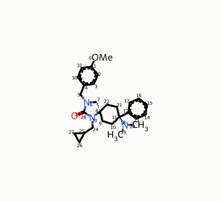 COc1ccc(CN2C[C@]3(CC[C@](c4ccccc4)(N(C)C)CC3)N(CC3CC3)C2=O)cc1